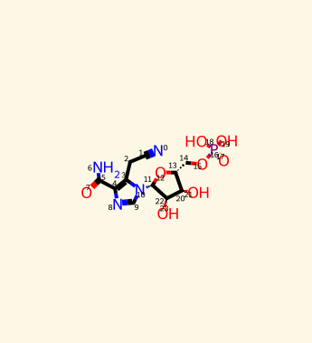 N#CCc1c(C(N)=O)ncn1[C@@H]1O[C@H](COP(=O)(O)O)[C@@H](O)[C@H]1O